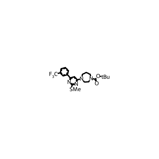 CSc1nc(-c2cccc(C(F)(F)F)c2)cc(N2CCCN(C(=O)OC(C)(C)C)CC2)n1